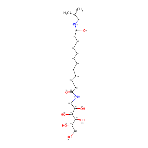 CC(C)CNC(=O)CCCCCCCCCCC(=O)NC[C@@H](O)[C@H](O)[C@@H](O)[C@@H](O)CO